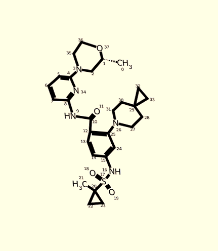 C[C@@H]1CN(c2cccc(NC(=O)c3ccc(NS(=O)(=O)C4(C)CC4)cc3N3CCC4(CC3)CC4)n2)CCO1